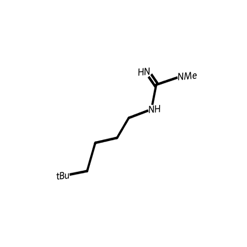 CNC(=N)NCCCCC(C)(C)C